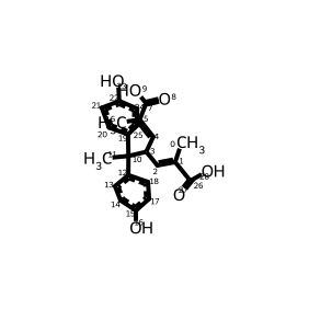 CC(=CC(C=C(C)C(=O)O)C(C)(c1ccc(O)cc1)c1ccc(O)cc1)C(=O)O